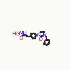 O=C(/C=C/c1ccc(-n2ccn(Cc3ccccc3)c2=O)cc1)NO